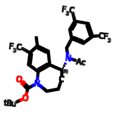 CC(=O)N(Cc1cc(C(F)(F)F)cc(C(F)(F)F)c1)[C@@H]1CCCN(C(=O)OC(C)(C)C)c2cc(C(F)(F)F)c(C)cc21